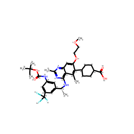 COCCOc1cc2nc(C)nc(N[C@H](C)c3cc(NC(=O)OC(C)(C)C)cc(C(F)(F)F)c3)c2c(C)c1C1CCC(C(=O)O)CC1